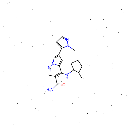 CC1CCCC1Nc1c(C(N)=O)cnn2cc(-c3ccnn3C)cc12